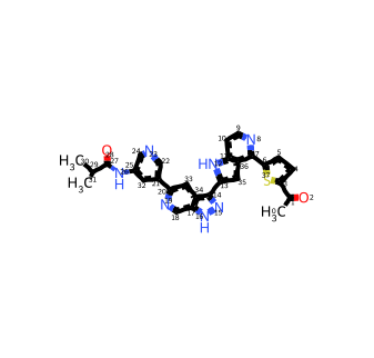 CC(=O)c1ccc(-c2nccc3[nH]c(-c4n[nH]c5cnc(-c6cncc(NC(=O)C(C)C)c6)cc45)cc23)s1